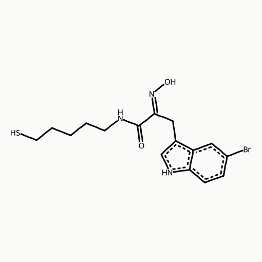 O=C(NCCCCCS)/C(Cc1c[nH]c2ccc(Br)cc12)=N/O